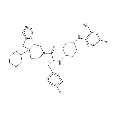 Cc1cc(F)ccc1N[C@H]1CC[C@@H](N[C@H](Cc2ccc(Cl)cc2)C(=O)N2CCC(Cn3cncn3)(C3CCCCC3)CC2)CC1